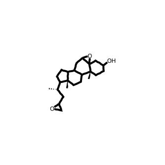 C[C@@H](CC1CO1)C1CCC2C3CC4OC45CC(O)CC[C@]5(C)C3CC[C@@]21C